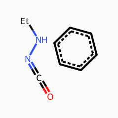 CCNN=C=O.c1ccccc1